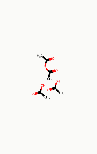 CC(=O)O.CC(=O)O.CC(=O)OC(C)=O